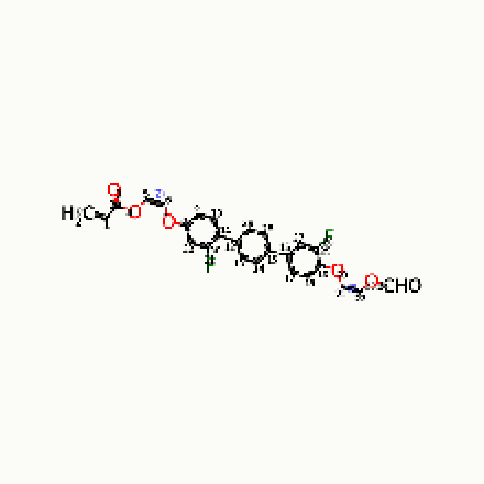 C=CC(=O)O/C=C\Oc1ccc(-c2ccc(-c3ccc(O/C=C\OC=O)c(F)c3)cc2)c(F)c1